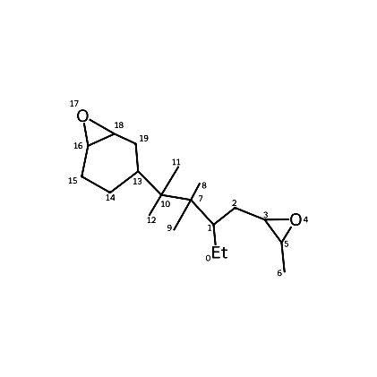 CCC(CC1OC1C)C(C)(C)C(C)(C)C1CCC2OC2C1